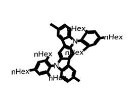 CCCCCCc1cc(CCCCCC)c(-n2c3ccc(C)cc3c3cc4c(cc32)c2cc(C)ccc2n4-c2c(CCCCCC)cc(CCCCCC)cc2CCCCCC)c(CCCCCC)c1